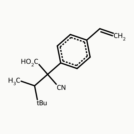 C=Cc1ccc(C(C#N)(C(=O)O)C(C)C(C)(C)C)cc1